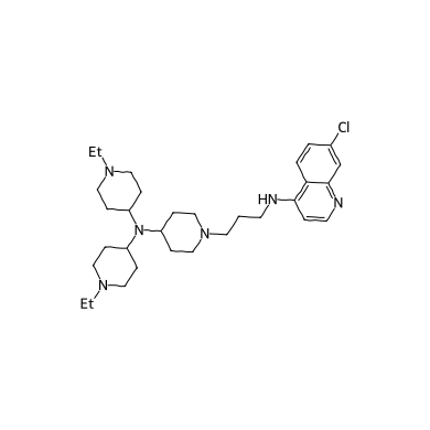 CCN1CCC(N(C2CCN(CC)CC2)C2CCN(CCCNc3ccnc4cc(Cl)ccc34)CC2)CC1